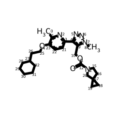 Cc1nc(-c2nnn(C)c2COC(=O)N2CCC3(CC3)C2)ccc1OCCC1CCCCC1